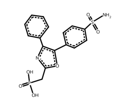 NS(=O)(=O)c1ccc(-c2oc(CP(=O)(O)O)nc2-c2ccccc2)cc1